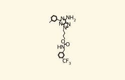 Cc1cccc(-c2nc(N)c3ncn(CCCCOC(=O)NCc4cccc(C(F)(F)F)c4)c3n2)c1